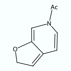 CC(=O)N1C=CC2=CCOC2=C1